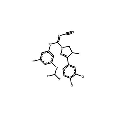 CC1CN(/C(=N\C#N)Nc2cc(F)cc(OC(F)F)c2)N=C1c1ccc(Cl)c(Cl)c1